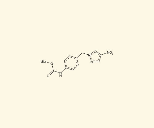 CC(C)(C)OC(=O)Nc1ccc(Cn2cc([N+](=O)[O-])cn2)cc1